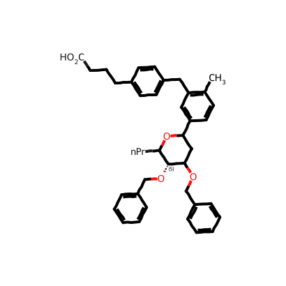 CCCC1OC(c2ccc(C)c(Cc3ccc(CCCC(=O)O)cc3)c2)CC(OCc2ccccc2)[C@@H]1OCc1ccccc1